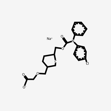 O=C([O-])COCC1CCC(COC(=O)N(c2ccccc2)c2ccc(Cl)cc2)CC1.[Na+]